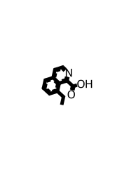 CCc1cccc2ccnc(C(=O)O)c12